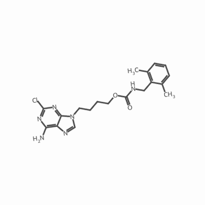 Cc1cccc(C)c1CNC(=O)OCCCCn1cnc2c(N)nc(Cl)nc21